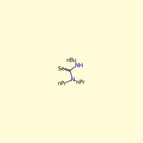 CCCCNC(=[Se])N(CCC)CCC